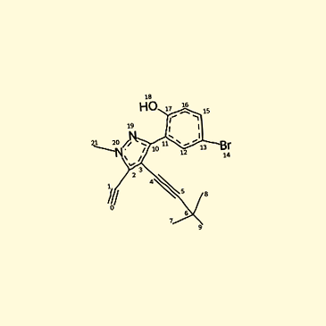 C#Cc1c(C#CC(C)(C)C)c(-c2cc(Br)ccc2O)nn1C